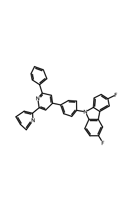 Fc1ccc2c(c1)c1cc(F)ccc1n2-c1ccc(-c2cc(-c3ccccc3)nc(-c3ccccn3)c2)cc1